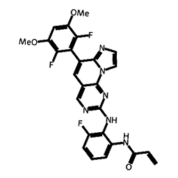 C=CC(=O)Nc1cccc(F)c1Nc1ncc2cc(-c3c(F)c(OC)cc(OC)c3F)c3nccn3c2n1